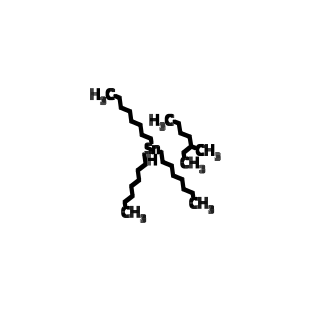 CCCCC(C)CC.CCCCCCC[CH2][SnH]([CH2]CCCCCCC)[CH2]CCCCCCC